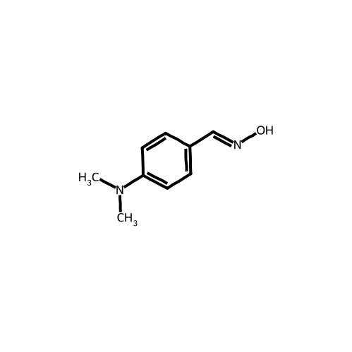 CN(C)c1ccc(C=NO)cc1